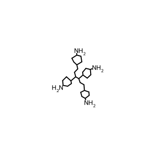 NC1CCC(CCC(C2CCC(N)CC2)C(CCC2CCC(N)CC2)C2CCC(N)CC2)CC1